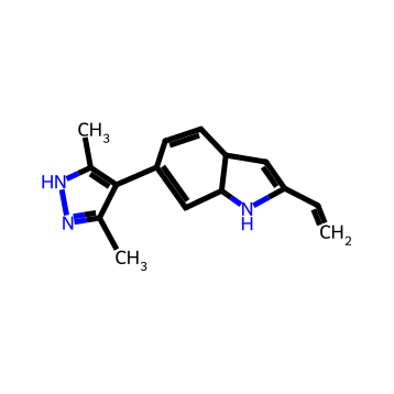 C=CC1=CC2C=CC(c3c(C)n[nH]c3C)=CC2N1